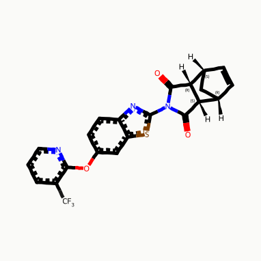 O=C1[C@@H]2[C@H](C(=O)N1c1nc3ccc(Oc4ncccc4C(F)(F)F)cc3s1)[C@@H]1C=C[C@H]2C1